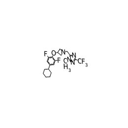 Cn1nc(C(F)(F)F)nc1CN1CC(Oc2c(F)cc(C3CCCCC3)cc2F)C1